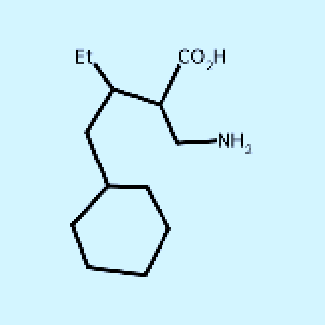 CCC(CC1CCCCC1)C(CN)C(=O)O